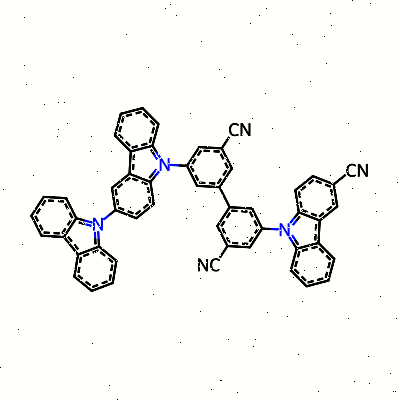 N#Cc1cc(-c2cc(C#N)cc(-n3c4ccccc4c4cc(-n5c6ccccc6c6ccccc65)ccc43)c2)cc(-n2c3ccccc3c3cc(C#N)ccc32)c1